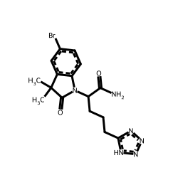 CC1(C)C(=O)N(C(CCCc2nnn[nH]2)C(N)=O)c2ccc(Br)cc21